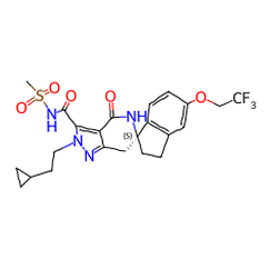 CS(=O)(=O)NC(=O)c1c2c(nn1CCC1CC1)C[C@]1(CCc3cc(OCC(F)(F)F)ccc31)NC2=O